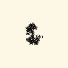 CC(C)(C)c1ccc2c(c1)B1c3cc(C(C)(C)Cc4cccc(-c5ccccc5N5c6ccccc6B6c7ccccc7N(c7ccccc7-c7ccccc7)c7cccc5c76)c4)ccc3N(c3ccccc3-c3ccccc3)c3cccc(c31)N2c1ccccc1-c1ccccc1